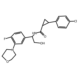 O=C(NC(CO)c1ccc(F)c(N2CCOCC2)c1)C1CC1c1ccc(Cl)cc1